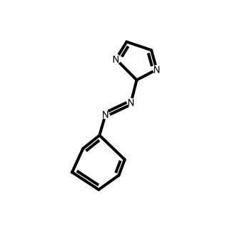 C1=NC(/N=N/c2ccccc2)N=C1